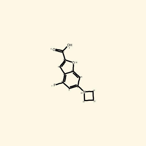 O=C(O)c1cc2c(F)cc(N3CCC3)cc2o1